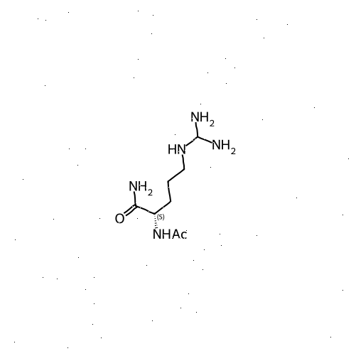 CC(=O)N[C@@H](CCCNC(N)N)C(N)=O